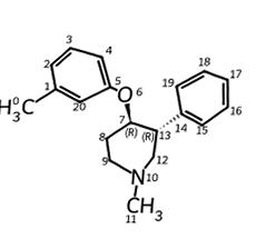 Cc1cccc(O[C@@H]2CCN(C)C[C@H]2c2ccccc2)c1